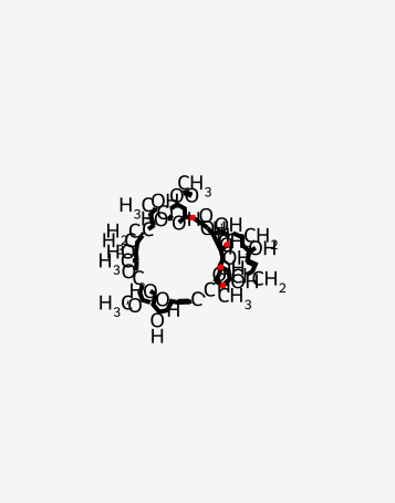 C=C(Cl)/C=C/C(O)CC(=C)C[C@H]1O[C@@H]2[C@H](C)[C@@H](OC(=O)C[C@H]3C[C@H](OC(C)=O)C[C@@]4(C[C@@](C)(O)C[C@H](CC(=C)[C@@H](C)C(O)C(C)C(=O)C[C@H]5C[C@@H](OC)C[C@]6(C[C@H](O)C[C@@H](/C=C\CCC[C@@H]7O[C@@](O)(C[C@@H](O)[C@@H]7C)[C@H]2O)O6)O5)O4)O3)[C@@H]1O